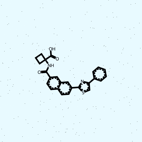 O=C(NC1(C(=O)O)CCC1)c1ccc2ccc(-c3nc(-c4ccccc4)cs3)cc2c1